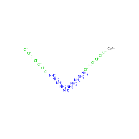 [Ce+3].[Cl-].[Cl-].[Cl-].[Cl-].[Cl-].[Cl-].[Cl-].[Cl-].[Cl-].[Cl-].[Cl-].[Cl-].[Cl-].[NH4+].[NH4+].[NH4+].[NH4+].[NH4+].[NH4+].[NH4+].[NH4+].[NH4+].[NH4+]